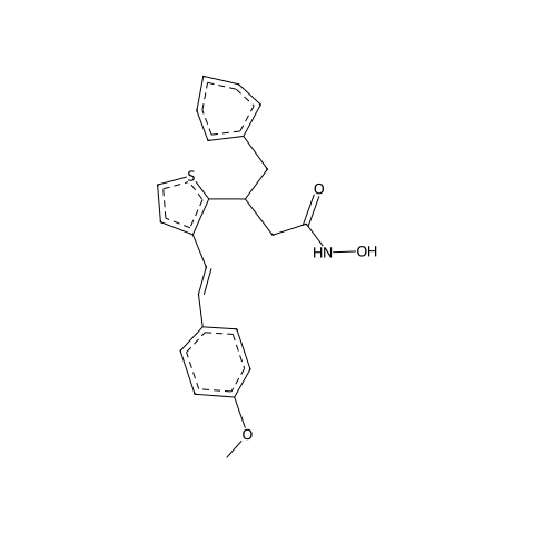 COc1ccc(C=Cc2ccsc2C(CC(=O)NO)Cc2ccccc2)cc1